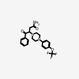 NC(=O)CC(C(=O)c1ccccc1)N1CCN(c2ccc(OC(F)(F)F)cc2)CC1